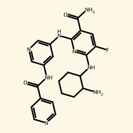 NC(=O)c1cc(F)c(NC2CCCCC2N)nc1Nc1cncc(NC(=O)c2ccncc2)c1